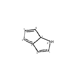 [C]1=CNC2C=CC=C12